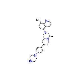 C[C@@H]1CN(c2ccc(C#N)c3ncccc23)CC2C[C@H](c3ccc(N4CCNCC4)cc3)CCN21